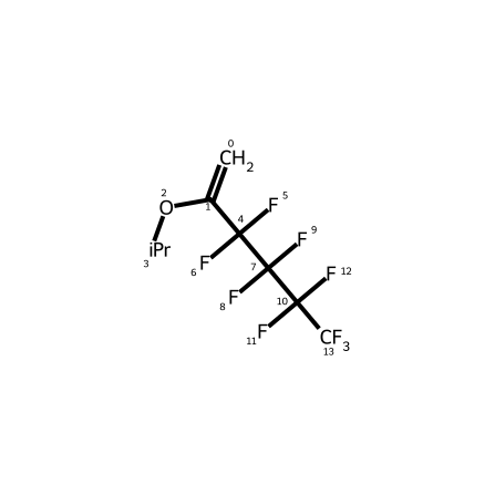 C=C(OC(C)C)C(F)(F)C(F)(F)C(F)(F)C(F)(F)F